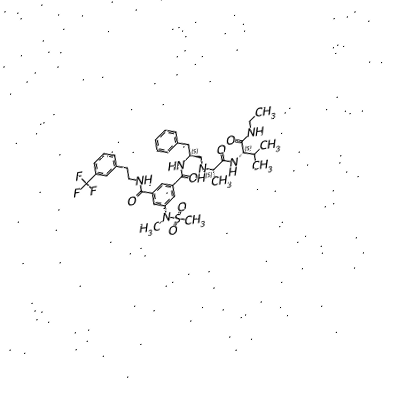 CCNC(=O)[C@@H](NC(=O)[C@H](C)NC[C@H](Cc1ccccc1)NC(=O)c1cc(C(=O)NCCc2cccc(C(F)(F)F)c2)cc(N(C)S(C)(=O)=O)c1)C(C)C